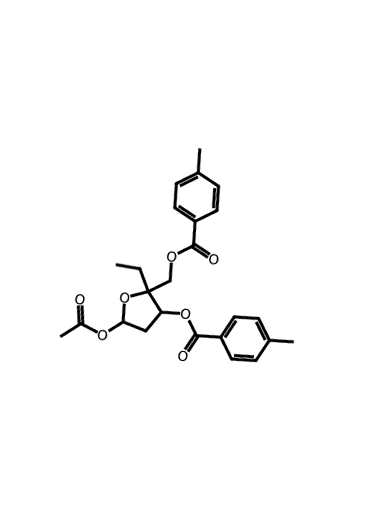 CCC1(COC(=O)c2ccc(C)cc2)OC(OC(C)=O)CC1OC(=O)c1ccc(C)cc1